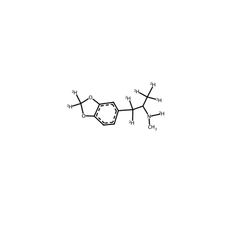 [2H]N(C)C(C([2H])([2H])[2H])C([2H])([2H])c1ccc2c(c1)OC([2H])([2H])O2